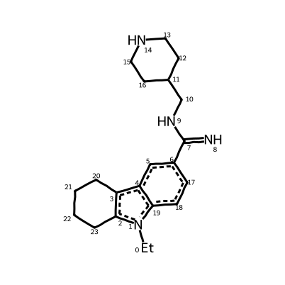 CCn1c2c(c3cc(C(=N)NCC4CCNCC4)ccc31)CCCC2